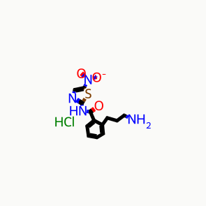 Cl.NCCCc1ccccc1C(=O)Nc1ncc([N+](=O)[O-])s1